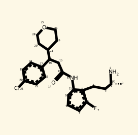 C[C@@H](N)CCc1c(F)cccc1NC(=O)CC(c1ccc(Cl)cc1)C1CCOCC1